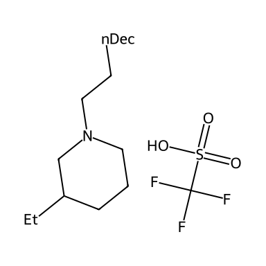 CCCCCCCCCCCCN1CCCC(CC)C1.O=S(=O)(O)C(F)(F)F